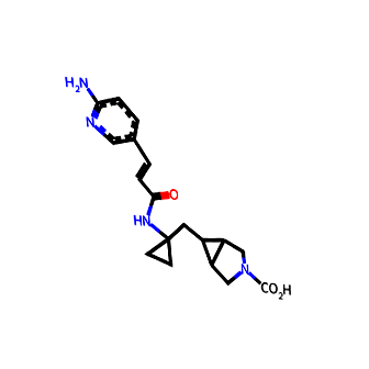 Nc1ccc(/C=C/C(=O)NC2(CC3C4CN(C(=O)O)CC43)CC2)cn1